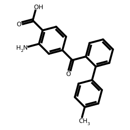 Cc1ccc(-c2ccccc2C(=O)c2ccc(C(=O)O)c(N)c2)cc1